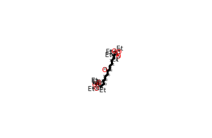 CCO[Si](OCC)(OCC)C(CC)CCCCCC(=O)CCCCCC(CC)[Si](OCC)(OCC)OCC